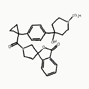 O=C1OC2(CCN(C(=O)C3(c4ccc(C5(O)CCN(C(=O)O)CC5)cc4)CC3)C2)c2ccccc21